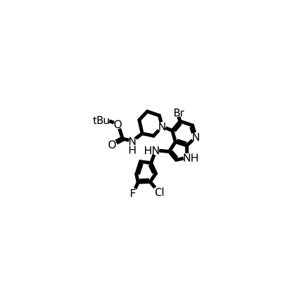 CC(C)(C)OC(=O)NC1CCCN(c2c(Br)cnc3[nH]cc(Nc4ccc(F)c(Cl)c4)c23)C1